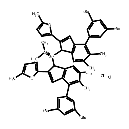 Cc1ccc(C2=Cc3c(cc(C)c(C)c3-c3cc(C(C)(C)C)cc(C(C)(C)C)c3)[CH]2[Zr+2]([CH]2C(c3ccc(C)o3)=Cc3c2cc(C)c(C)c3-c2cc(C(C)(C)C)cc(C(C)(C)C)c2)=[Si](C)C)o1.[Cl-].[Cl-]